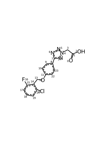 O=C(O)Cn1nnc(-c2ccc(OCc3c(F)cccc3Cl)cc2)n1